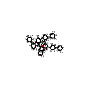 c1ccc(-c2ccc(-c3nc(-c4ccccc4)nc(-n4c5cc(-c6ccccc6)ccc5c5ccc6c7c(-c8ccccc8)cccc7n(-c7ccccc7)c6c54)n3)cc2)cc1